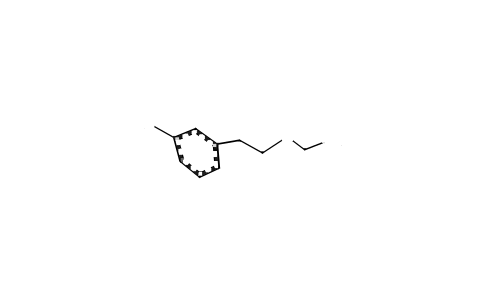 CCOCCc1cccc(C)c1